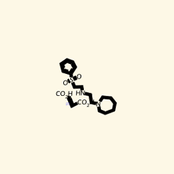 O=C(O)/C=C\C(=O)O.O=S(=O)(CCNCCN1CCCCCC1)c1ccccc1